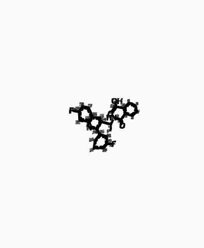 C[C@H](NC(=O)c1ccccc1C(=O)O)c1cc2ccc(F)cc2nc1-c1cccc(F)c1